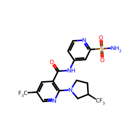 NS(=O)(=O)c1cc(NC(=O)c2cc(C(F)(F)F)cnc2N2CCC(C(F)(F)F)C2)ccn1